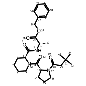 C[C@H](NC(=O)[C@@H]1CCCCN1C(=O)[C@@H]1CCCN1C(=O)CC(C)(C)C)C(=O)OCc1ccccc1